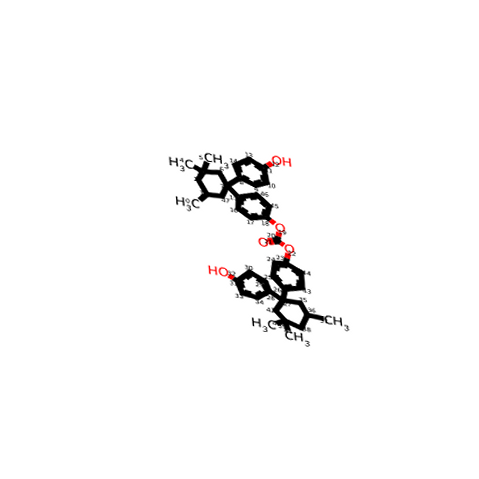 CC1CC(C)(C)CC(c2ccc(O)cc2)(c2ccc(OC(=O)Oc3ccc(C4(c5ccc(O)cc5)CC(C)CC(C)(C)C4)cc3)cc2)C1